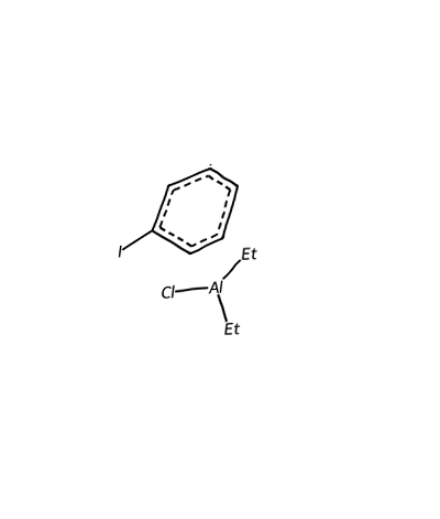 C[CH2][Al]([Cl])[CH2]C.Ic1c[c]ccc1